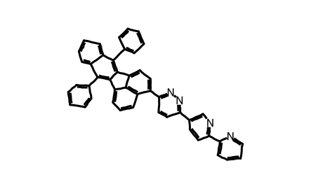 c1ccc(-c2c3c(c(-c4ccccc4)c4ccccc24)-c2ccc(-c4ccc(-c5ccc(-c6ccccn6)nc5)nn4)c4cccc-3c24)cc1